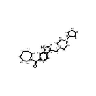 O=C(c1ccc2c(CN3CCN(C4CCCC4)CC3)c[nH]c2c1)N1CCCCCC1